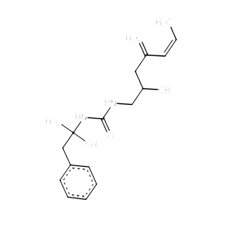 C=C(/C=C\C)CC(C)CNC(=O)NC(C)(C)Cc1ccccc1